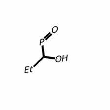 [CH2]CC(O)P=O